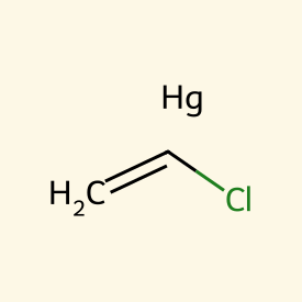 C=CCl.[Hg]